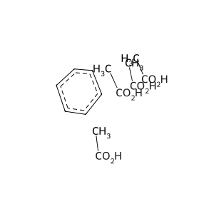 CC(=O)O.CC(=O)O.CC(=O)O.CC(=O)O.c1ccccc1